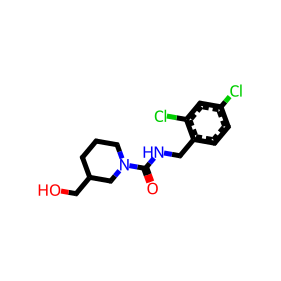 O=C(NCc1ccc(Cl)cc1Cl)N1CCCC(CO)C1